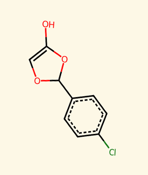 OC1=COC(c2ccc(Cl)cc2)O1